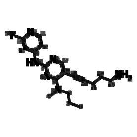 CCCN(C)c1nc(Nc2ccnc(F)c2)ncc1C#CCCCN